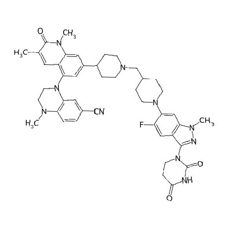 Cc1cc2c(N3CCN(C)c4ccc(C#N)cc43)cc(C3CCN(CC4CCN(c5cc6c(cc5F)c(N5CCC(=O)NC5=O)nn6C)CC4)CC3)cc2n(C)c1=O